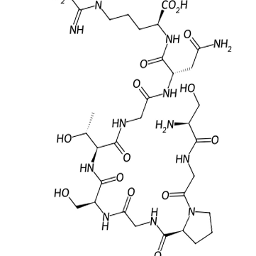 C[C@@H](O)[C@H](NC(=O)[C@H](CO)NC(=O)CNC(=O)[C@@H]1CCCN1C(=O)CNC(=O)[C@@H](N)CO)C(=O)NCC(=O)N[C@@H](CC(N)=O)C(=O)N[C@@H](CCCNC(=N)N)C(=O)O